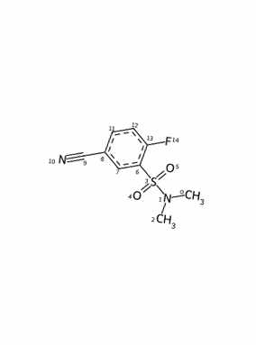 CN(C)S(=O)(=O)c1cc(C#N)ccc1F